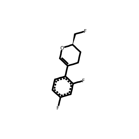 FC[C@H]1CCC(c2ccc(F)cc2F)=CO1